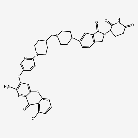 Nc1nc2c(=O)c3c(Cl)cccc3oc2cc1Oc1cnc(N2CCC(CN3CCN(c4ccc5c(c4)C(=O)N(C4CCC(=O)NC4=O)C5)CC3)CC2)nc1